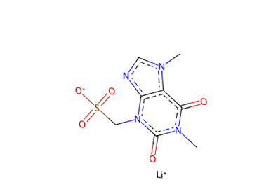 Cn1c(=O)c2c(ncn2C)n(CS(=O)(=O)[O-])c1=O.[Li+]